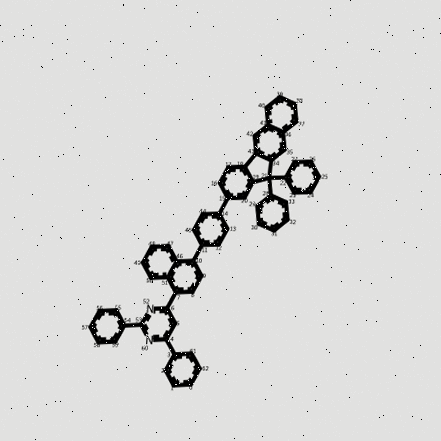 c1ccc(-c2cc(-c3ccc(-c4ccc(-c5ccc6c(c5)C(c5ccccc5)(c5ccccc5)c5cc7ccccc7cc5-6)cc4)c4ccccc34)nc(-c3ccccc3)n2)cc1